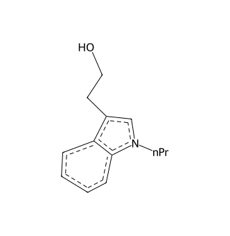 CCCn1cc(CCO)c2ccccc21